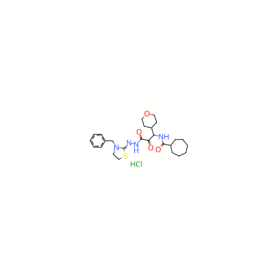 Cl.O=C(N/N=C1\SCCN1Cc1ccccc1)C(=O)C(NC(=O)C1CCCCCC1)C1CCOCC1